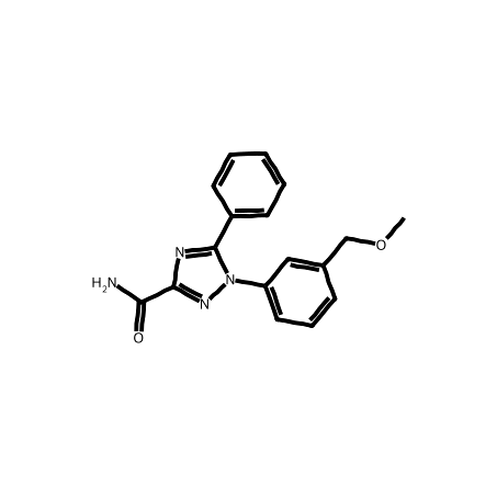 COCc1cccc(-n2nc(C(N)=O)nc2-c2ccccc2)c1